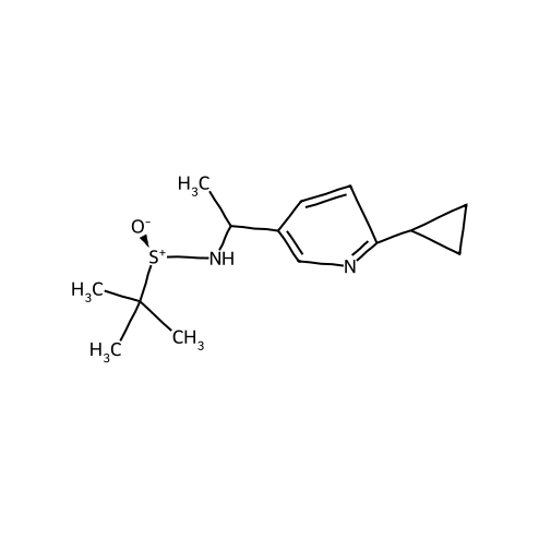 CC(N[S@+]([O-])C(C)(C)C)c1ccc(C2CC2)nc1